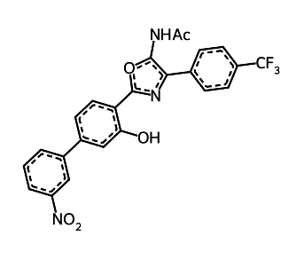 CC(=O)Nc1oc(-c2ccc(-c3cccc([N+](=O)[O-])c3)cc2O)nc1-c1ccc(C(F)(F)F)cc1